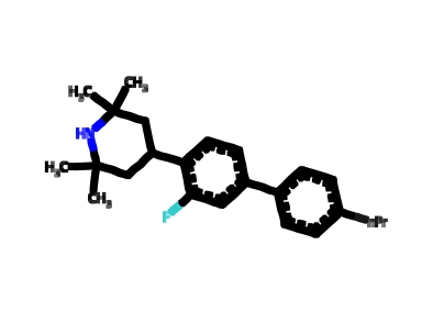 CCCc1ccc(-c2ccc(C3CC(C)(C)NC(C)(C)C3)c(F)c2)cc1